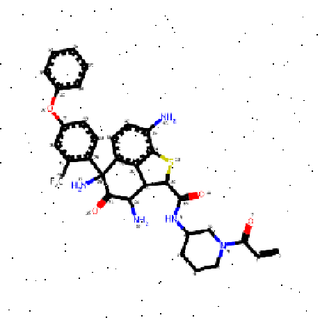 C=CC(=O)N1CCCC(NC(=O)C2Sc3c(N)ccc4c3C2C(N)C(=O)C4(N)c2ccc(Oc3ccccc3)cc2C(F)(F)F)C1